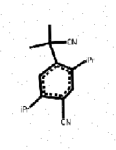 CC(C)c1cc(C(C)(C)C#N)c(C(C)C)cc1C#N